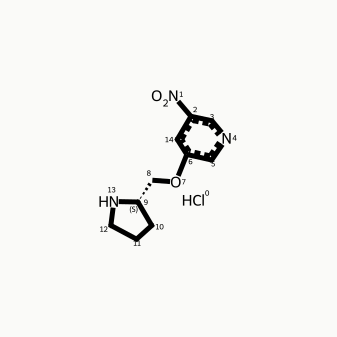 Cl.O=[N+]([O-])c1cncc(OC[C@@H]2CCCN2)c1